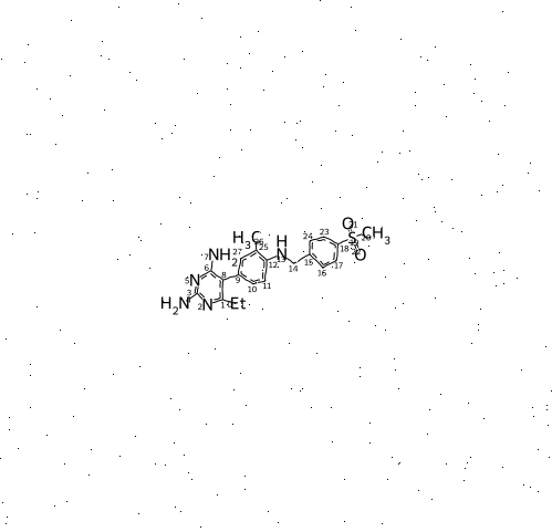 CCc1nc(N)nc(N)c1-c1ccc(NCc2ccc(S(C)(=O)=O)cc2)c(C)c1